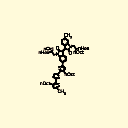 CCCCCCCCc1cc(C)sc1-c1ccc(-c2sc(-c3ccc4c(c3)N(CC(CCCCCC)CCCCCCCC)C(=O)/C4=C3/C(=O)N(CC(CCCCCC)CCCCCCCC)c4cc(C)ccc43)cc2CCCCCCCC)s1